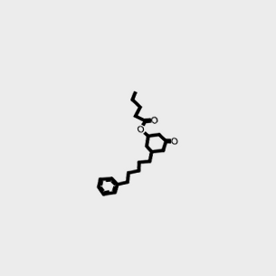 CCCCC(=O)OC1CC(=O)CC(CCCCCc2ccccc2)C1